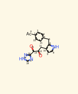 CC(=O)c1ccc(Cc2[nH]ccc2CC(=O)C(=O)c2nc[nH]n2)cc1